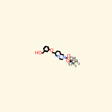 CC(C)(C)OC(=O)N1CCN2CC(COc3cccc(CO)c3)CCC2C1